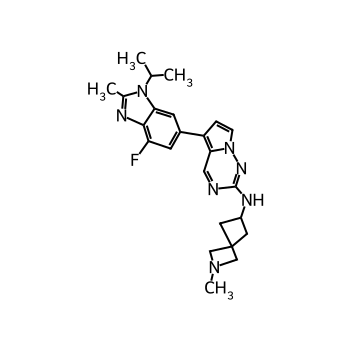 Cc1nc2c(F)cc(-c3ccn4nc(NC5CC6(C5)CN(C)C6)ncc34)cc2n1C(C)C